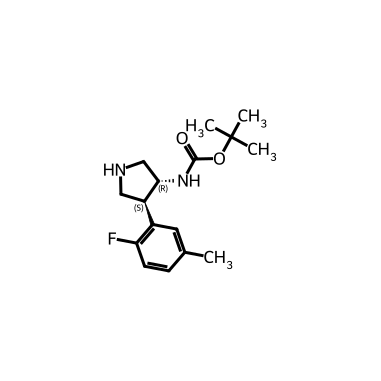 Cc1ccc(F)c([C@H]2CNC[C@@H]2NC(=O)OC(C)(C)C)c1